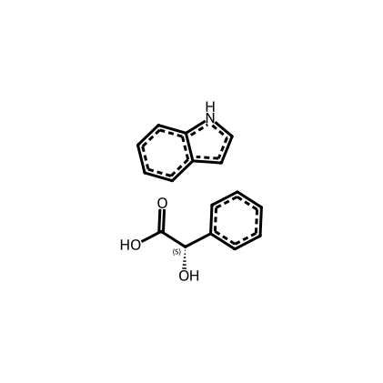 O=C(O)[C@@H](O)c1ccccc1.c1ccc2[nH]ccc2c1